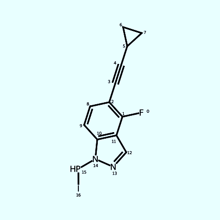 Fc1c(C#CC2CC2)ccc2c1cnn2PI